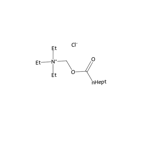 CCCCCCCC(=O)OC[N+](CC)(CC)CC.[Cl-]